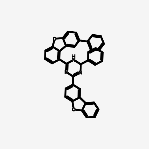 c1ccc(-c2ccc3oc4cccc(C5=NC(c6ccc7oc8ccccc8c7c6)=NC(c6ccccc6)N5)c4c3c2)cc1